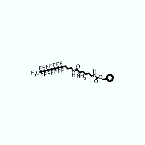 N[C@@H](CCCCNC(=O)OCc1ccccc1)C(=O)NCCCC(F)(F)C(F)(F)C(F)(F)C(F)(F)C(F)(F)C(F)(F)C(F)(F)C(F)(F)F